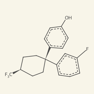 Oc1ccc([C@]2(c3cccc(F)c3)CC[C@H](C(F)(F)F)CC2)cc1